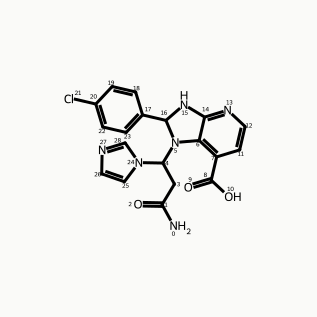 NC(=O)CC(N1c2c(C(=O)O)ccnc2NC1c1ccc(Cl)cc1)n1ccnc1